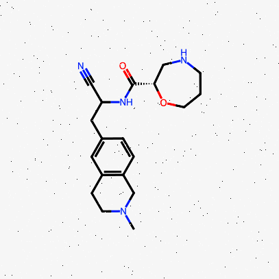 CN1CCc2cc(CC(C#N)NC(=O)[C@@H]3CNCCCO3)ccc2C1